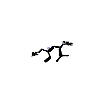 C=C/C(=C\C(OC)=C(C)C)CC#N